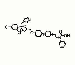 O=C(O)N(CCN1CCN(c2ccc(OC[C@@H]3CO[C@@](Cn4ccnc4)(c4ccc(Cl)cc4Cl)O3)cc2)CC1)c1ccccc1